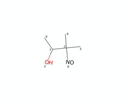 CC(O)C(C)(C)N=O